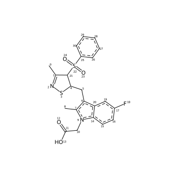 CC1=NSC(Cc2c(C)n(CC(=O)O)c3ccc(F)cc23)C1S(=O)(=O)c1ccccc1